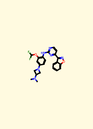 CN(C)C1CN(c2ccc(Nc3nccc(-c4noc5ccccc45)n3)c(OC(F)F)c2)C1